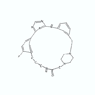 O=C1CN2CCN(CC2)Cc2cccc(c2)Nc2ncnc(n2)-c2ccc(F)c(c2)CCCN1